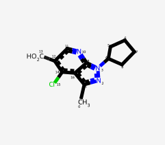 Cc1nn(C2CCCC2)c2ncc(C(=O)O)c(Cl)c12